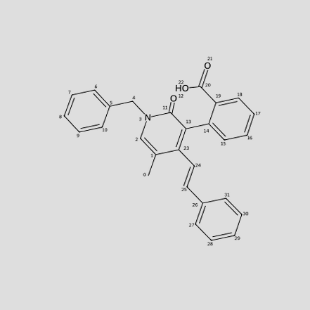 Cc1cn(Cc2ccccc2)c(=O)c(-c2ccccc2C(=O)O)c1C=Cc1ccccc1